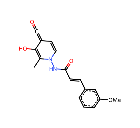 COc1cccc(/C=C/C(=O)NN2C=CC(=C=O)C(O)=C2C)c1